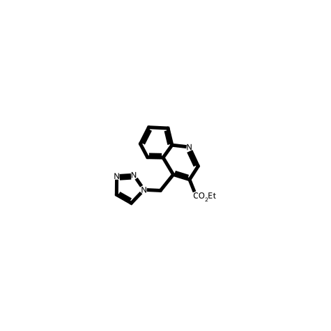 CCOC(=O)c1cnc2ccccc2c1Cn1ccnn1